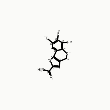 NC(=O)c1cc2c(s1)-c1cc(F)c(F)c(F)c1SC2